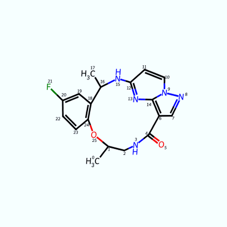 CC1CNC(=O)c2cnn3ccc(nc23)NC(C)c2cc(F)ccc2O1